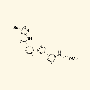 COCCNc1cncc(-c2cn(-c3cc(C(=O)Nc4cc(C(C)(C)C)on4)ccc3C)nn2)c1